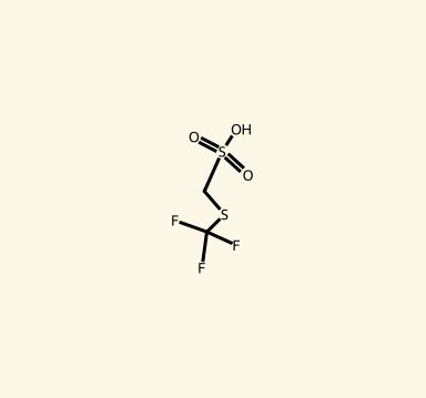 O=S(=O)(O)CSC(F)(F)F